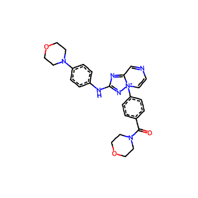 O=C(c1ccc([N+]23C=CN=CC2=NC(Nc2ccc(N4CCOCC4)cc2)=N3)cc1)N1CCOCC1